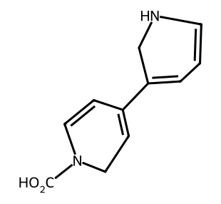 O=C(O)N1C=CC(C2=CC=CNC2)=CC1